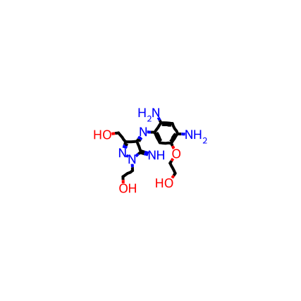 N=C1C(=Nc2cc(OCCO)c(N)cc2N)C(CO)=NN1CCO